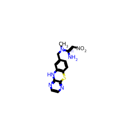 CN(Cc1ccc2c(c1)Nc1nccnc1S2)/C(N)=C/[N+](=O)[O-]